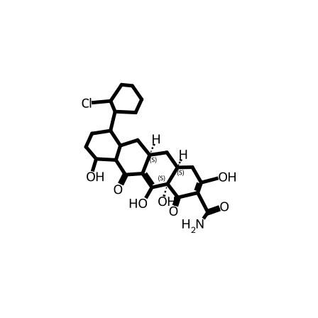 NC(=O)C1=C(O)C[C@@H]2C[C@@H]3CC4C(C5CCCCC5Cl)CCC(O)C4C(=O)C3=C(O)[C@]2(O)C1=O